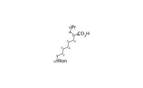 CCCCCCCCCCCCCCCC(CC(C)C)C(=O)O